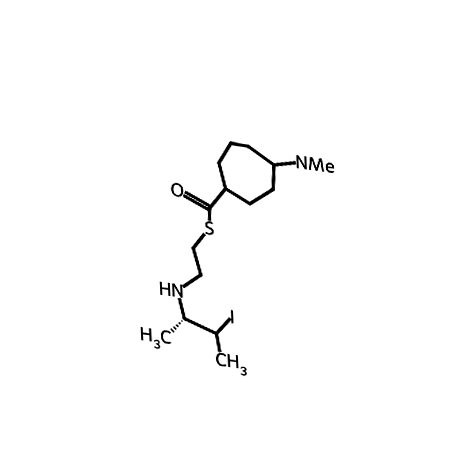 CNC1CCCC(C(=O)SCCN[C@@H](C)C(C)I)CC1